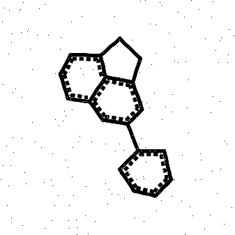 [c]1cccc(-c2cc3c4c(cccc4c2)CC3)c1